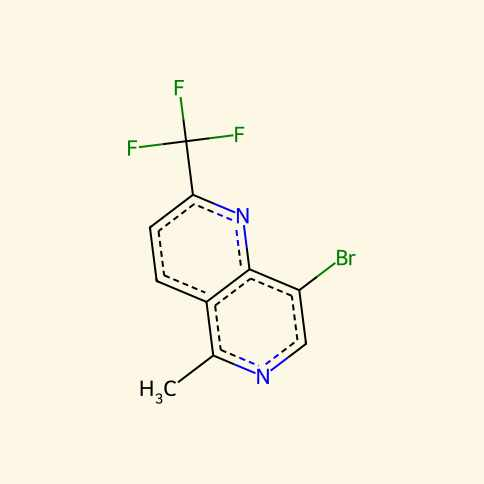 Cc1ncc(Br)c2nc(C(F)(F)F)ccc12